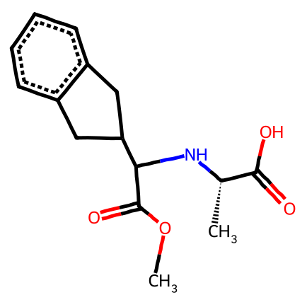 COC(=O)C(N[C@@H](C)C(=O)O)C1Cc2ccccc2C1